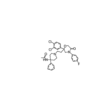 CC(=O)NC1(c2ccccc2)CCN(CCC2(c3ccc(Cl)c(Cl)c3)CN(c3ccc(F)cc3)C(=O)CO2)CC1